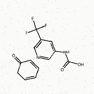 O=C(O)Nc1cncc(C(F)(F)F)c1.O=C1C=CC=CC1